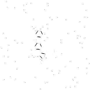 CCOC(=O)c1c(-c2ccc(Oc3cccc(C#N)c3)cc2)c(C#N)c(CC)n1C